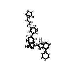 c1cc(N2CCCCC2)c2cc(-c3n[nH]c4ncc(-c5cncc(OCCN6CCCC6)c5)cc34)[nH]c2c1